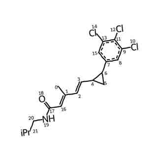 CC(/C=C/C1CC1c1cc(Cl)c(Cl)c(Cl)c1)=C\C(=O)NCC(C)C